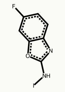 Fc1ccc2nc(NI)oc2c1